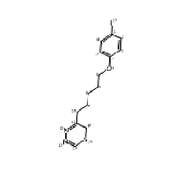 Fc1ccc(OCCCCCC2=NN=CSC2)cc1